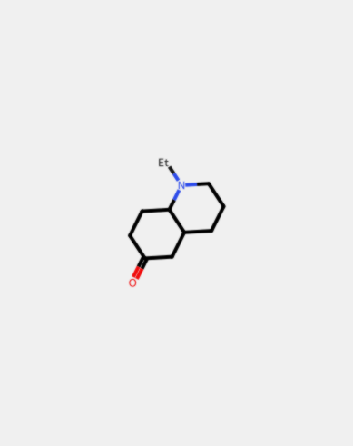 CCN1CCCC2CC(=O)CCC21